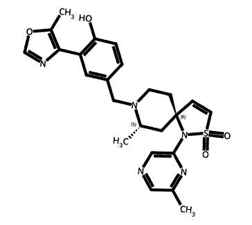 Cc1cncc(N2[C@]3(C=CS2(=O)=O)CCN(Cc2ccc(O)c(-c4ncoc4C)c2)[C@@H](C)C3)n1